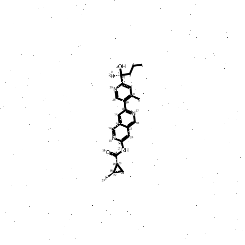 [2H][C@](O)(CCC)c1cc(C)c(-c2cc3cnc(NC(=O)[C@H]4C[C@H]4F)cc3cn2)cn1